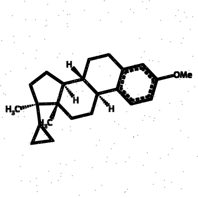 COc1ccc2c(c1)CC[C@@H]1[C@@H]2CC[C@@]2(C)[C@H]1CC[C@]2(C)C1CC1